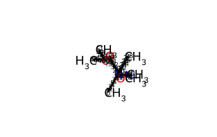 CCCCCCCCCCN(C(=O)CCCN(C)C)C(CCCCCCCCC)CCCCCCC(F)(C=O)COC(CCCCC)CCCCC